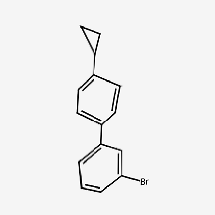 Brc1cccc(-c2c[c]c(C3CC3)cc2)c1